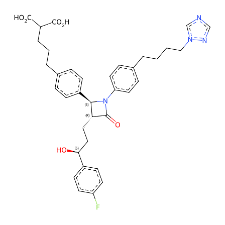 O=C(O)C(CCCc1ccc([C@@H]2[C@@H](CC[C@H](O)c3ccc(F)cc3)C(=O)N2c2ccc(CCCCn3cncn3)cc2)cc1)C(=O)O